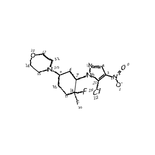 O=[N+]([O-])c1cnn(C2CC(N3CCOCC3)CCC2(F)F)c1Cl